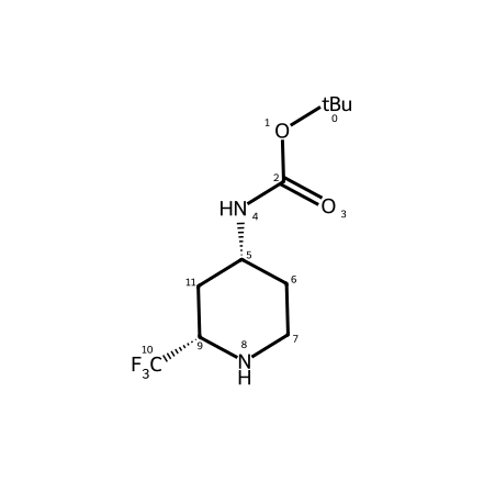 CC(C)(C)OC(=O)N[C@@H]1CCN[C@H](C(F)(F)F)C1